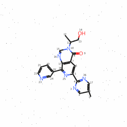 Cc1cnc(-c2cc3c(=O)n(C(C)CO)cnc3c(-c3cccnc3)n2)nc1